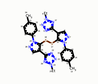 CCn1nnc(-c2cnn(-c3ccc(C)cc3)c2SSc2c(-c3nnn(CC)n3)cnn2-c2ccc(C)cc2)n1